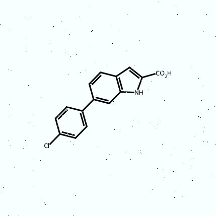 O=C(O)c1cc2ccc(-c3ccc(Cl)cc3)cc2[nH]1